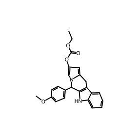 CCOC(=O)Oc1cc2n(c1)C(c1ccc(OC)cc1)c1[nH]c3ccccc3c1C2